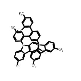 N#Cc1ccc(-n2c3ccc(C(F)(F)F)cc3c3cc(C(F)(F)F)ccc32)c(-c2cc(-n3c4ccc(C(F)(F)F)cc4c4cc(C(F)(F)F)ccc43)ccc2-c2ccc(C(F)(F)F)cc2C(F)(F)F)c1